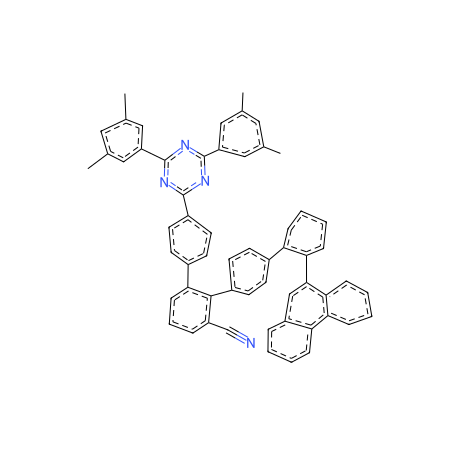 Cc1cc(C)cc(-c2nc(-c3ccc(-c4cccc(C#N)c4-c4ccc(-c5ccccc5-c5cc6ccccc6c6ccccc56)cc4)cc3)nc(-c3cc(C)cc(C)c3)n2)c1